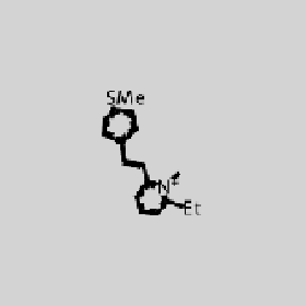 CCc1cccc(/C=C/c2ccc(SC)cc2)[n+]1C